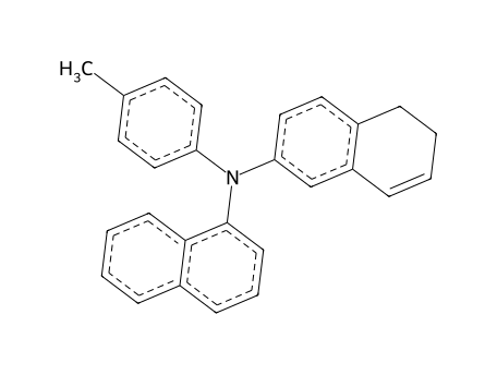 Cc1ccc(N(c2ccc3c(c2)C=CCC3)c2cccc3ccccc23)cc1